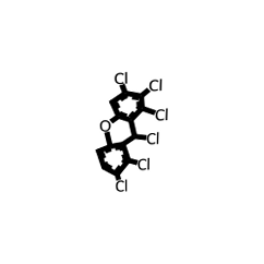 Clc1cc2c(c(Cl)c1Cl)C(Cl)c1c(ccc(Cl)c1Cl)O2